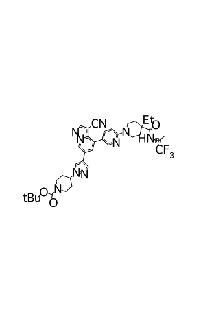 CCC1(C(=O)N[C@H](C)C(F)(F)F)CCN(c2ccc(-c3cc(-c4cnn(C5CCN(C(=O)OC(C)(C)C)CC5)c4)cn4ncc(C#N)c34)cn2)CC1